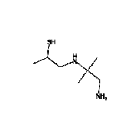 CC(S)CNC(C)(C)CN